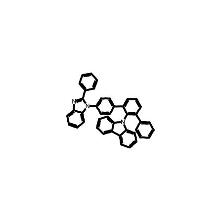 c1ccc(-c2cccc(-c3ccc(-n4c(-c5ccccc5)nc5ccccc54)cc3)c2-n2c3ccccc3c3ccccc32)cc1